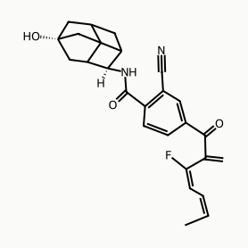 C=C(C(=O)c1ccc(C(=O)N[C@H]2C3CC4CC2C[C@](O)(C4)C3)c(C#N)c1)/C(F)=C\C=C/C